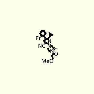 CCc1ccccc1-c1cc(C#N)c(N2CCN(C(=O)CCOC)[C@H](C)C2)nc1C1CC1